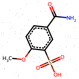 COc1ccc(C(N)=O)cc1S(=O)(=O)O